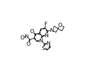 O=NC(=O)c1cn(-c2nccs2)c2nc(N3CC4(CCO4)C3)c(F)cc2c1=O